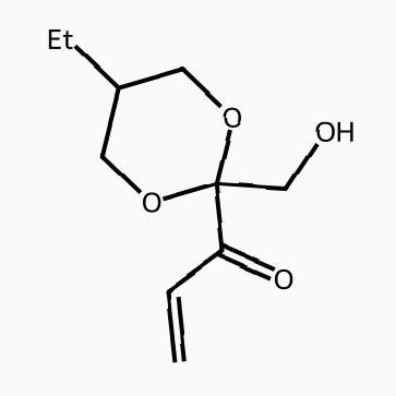 C=CC(=O)C1(CO)OCC(CC)CO1